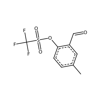 Cc1ccc(OS(=O)(=O)C(F)(F)F)c(C=O)c1